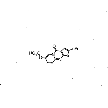 CCCc1cc2c(=O)n3cc(OC(=O)O)ccc3nc2s1